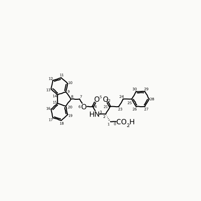 O=C(O)C[C@H](NC(=O)OCC1c2ccccc2-c2ccccc21)C(=O)CCc1ccccc1